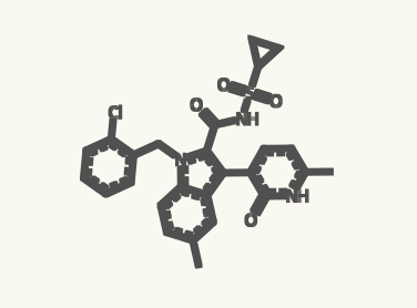 Cc1ccc2c(c1)c(-c1ccc(C)[nH]c1=O)c(C(=O)NS(=O)(=O)C1CC1)n2Cc1ccccc1Cl